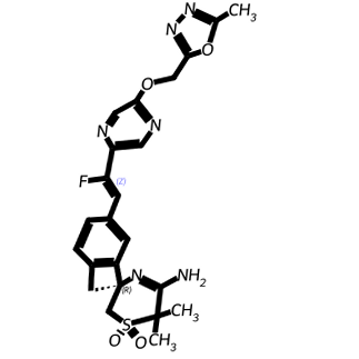 Cc1nnc(COc2cnc(/C(F)=C/c3ccc4c(c3)[C@]3(C4)CS(=O)(=O)C(C)(C)C(N)=N3)cn2)o1